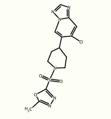 Cc1nnc(S(=O)(=O)N2CCC(c3cn4ncnc4cc3Cl)CC2)o1